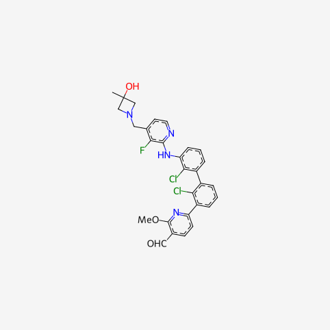 COc1nc(-c2cccc(-c3cccc(Nc4nccc(CN5CC(C)(O)C5)c4F)c3Cl)c2Cl)ccc1C=O